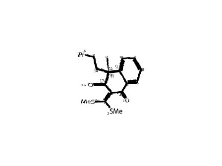 CSC(SC)=C1C(=O)c2ccccc2[C@@](C)(CCC(C)C)C1=O